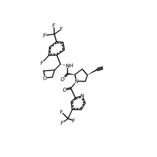 C#C[C@@H]1C[C@H](C(=O)N[C@@H](c2ccc(C(F)(F)F)cc2F)C2COC2)N(C(=O)c2cc(C(F)(F)F)ccn2)C1